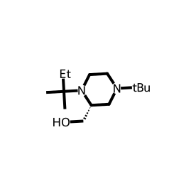 CCC(C)(C)N1CCN(C(C)(C)C)C[C@@H]1CO